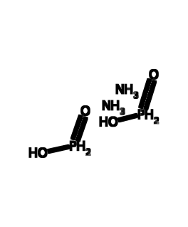 N.N.O=[PH2]O.O=[PH2]O